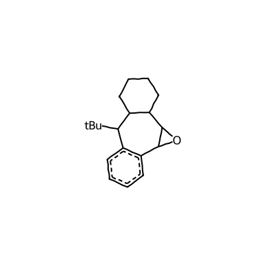 CC(C)(C)C1c2ccccc2C2OC2C2CCCCC21